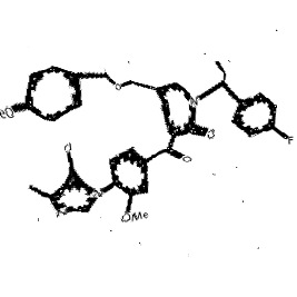 COc1ccc(COCc2cc(C(=O)c3ccc(-n4cnc(C)c4Cl)c(OC)c3)c(=O)n([C@@H](C)c3ccc(F)cc3)c2)cc1